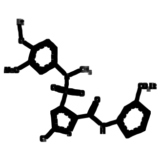 CCOC(=O)c1cccc(NC(=O)c2sc(Cl)cc2S(=O)(=O)N(C)c2ccc(OCC)c(OC)c2)c1